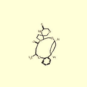 CC1CC(=O)N2CCC3(COCC(=O)N3)C2CO[C@H]2CC[C@H](CC2)c2ccccc2O1